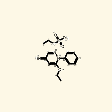 CCOS(=O)(=O)O.CCOc1cc(=N)cnn1-c1ccccc1